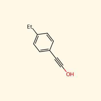 CCc1ccc(C#CO)cc1